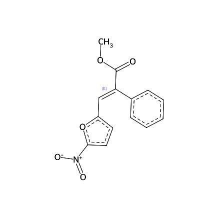 COC(=O)/C(=C/c1ccc([N+](=O)[O-])o1)c1ccccc1